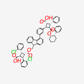 O=C(O)[C@@H]1[C@H](c2ccccc2)[C@@H](C(=O)O[C@@H]2CCCC[C@H]2c2ccccc2)[C@H]1c1cccc(-c2cccc3c2-c2ccccc2C3COC(=O)[C@H]2[C@@H](c3ccccc3Cl)[C@H](C(=O)O)[C@@H]2c2ccccc2Cl)c1